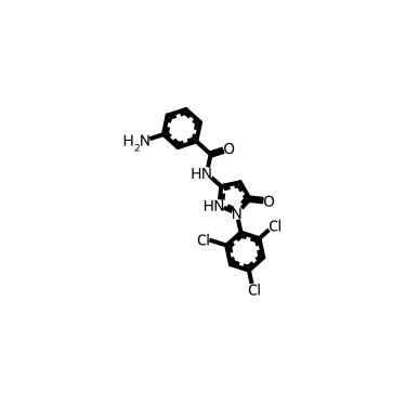 Nc1cccc(C(=O)Nc2cc(=O)n(-c3c(Cl)cc(Cl)cc3Cl)[nH]2)c1